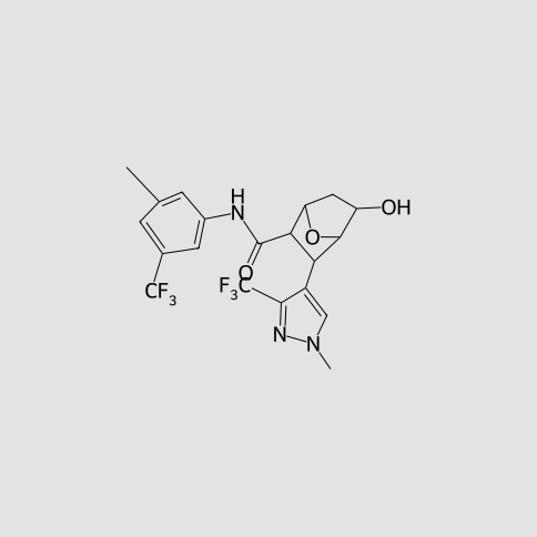 Cc1cc(NC(=O)C2C3CC(O)C(O3)C2c2cn(C)nc2C(F)(F)F)cc(C(F)(F)F)c1